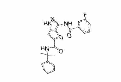 CC(C)(NC(=O)c1cc2[nH]nc(NC(=O)c3cccc(F)c3)c2o1)c1ccccc1